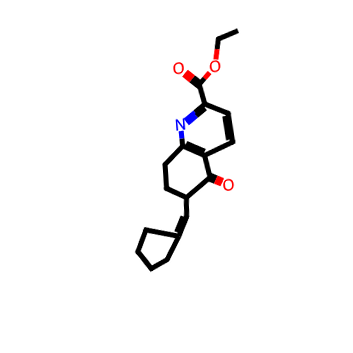 CCOC(=O)c1ccc2c(n1)CCC(C=C1CCCC1)C2=O